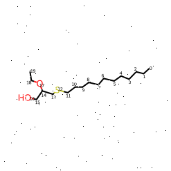 CCCCCCCCCCCCSCC(CO)OCC